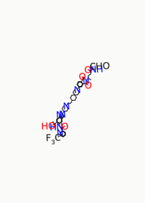 CC(CCC(=O)NC=O)N1C(=O)c2ccc(N3CCC4(CCC(CCN5CCC(n6cc7cc(NC(=O)c8cccc(C(F)(F)F)n8)c(C(C)(C)O)cc7n6)CC5)CC4)CC3)cc2C1=O